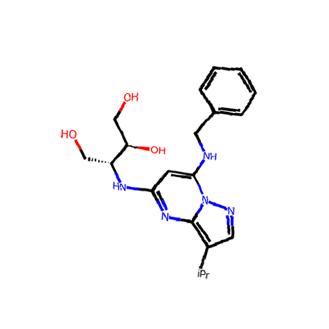 CC(C)c1cnn2c(NCc3ccccc3)cc(N[C@H](CO)[C@H](O)CO)nc12